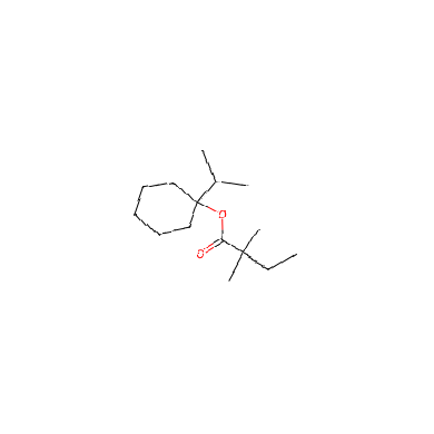 CCC(C)(C)C(=O)OC1(C(C)C)CCCCC1